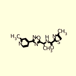 Cc1cc(-c2noc([C@H](C)NC(=O)c3nc(C)cs3)n2)ccn1